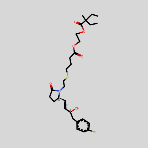 CCC(C)(CC)C(=O)OCCOC(=O)CCCSCCN1C(=O)CC[C@@H]1/C=C/[C@@H](O)Cc1ccc(F)cc1